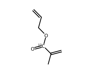 C=CCO[13C](=O)C(=C)C